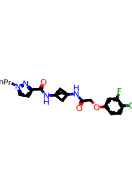 CCCn1ccc(C(=O)NC23CC(NC(=O)COc4ccc(Cl)c(F)c4)(C2)C3)n1